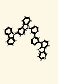 c1cc(-c2cccc(-n3c4ccccc4c4cc(-n5c6ccccc6c6ccccc65)ccc43)c2)cc(-c2cccc3c2sc2ccncc23)c1